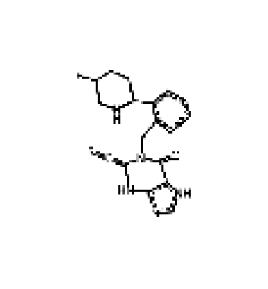 O=C1c2[nH]cnc2NC(=C=S)N1Cc1ccccc1C1CCC(F)CN1